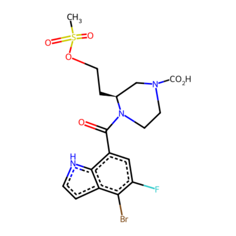 CS(=O)(=O)OCC[C@H]1CN(C(=O)O)CCN1C(=O)c1cc(F)c(Br)c2cc[nH]c12